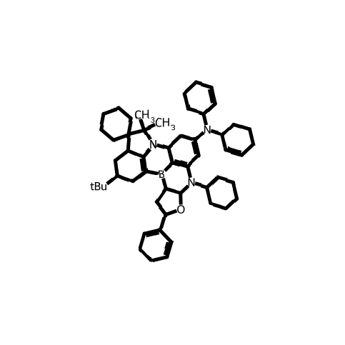 CC(C)(C)C1CC2=C3C(C1)C1(CCCCC1)C(C)(C)N3C1CC(N(C3C=CCCC3)C3C=CCCC3)=CC3=C1B2C1CC(C2=CCCC=C2)OC1N3C1CCCCC1